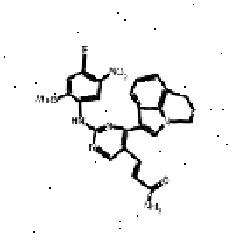 COc1cc(F)c([N+](=O)[O-])cc1Nc1ncc(C=CC(N)=O)c(-c2cn3c4c(cccc24)CCC3)n1